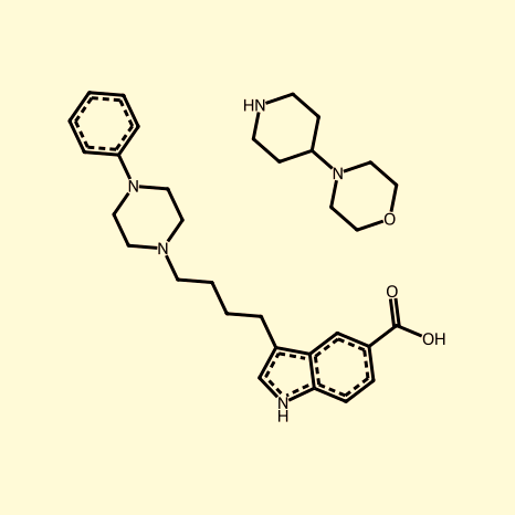 C1CC(N2CCOCC2)CCN1.O=C(O)c1ccc2[nH]cc(CCCCN3CCN(c4ccccc4)CC3)c2c1